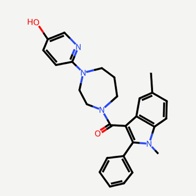 Cc1ccc2c(c1)c(C(=O)N1CCCN(c3ccc(O)cn3)CC1)c(-c1ccccc1)n2C